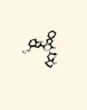 COc1cccc2[nH]c(C(=O)N3CC4(CCCCC4)CC3C(=O)NC(C#N)CC3CCCNC3=O)cc12